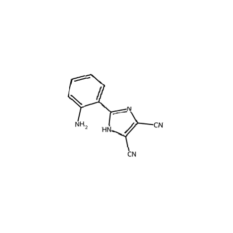 N#Cc1nc(-c2ccccc2N)[nH]c1C#N